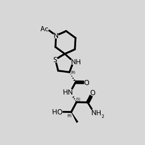 CC(=O)N1CCCC2(C1)N[C@H](C(=O)N[C@H](C(N)=O)[C@@H](C)O)CS2